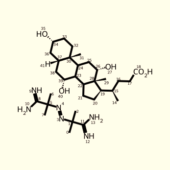 CC(C)(N=NC(C)(C)C(=N)N)C(=N)N.C[C@H](CCC(=O)O)[C@H]1CCC2C3C(C[C@H](O)[C@@]21C)[C@@]1(C)CC[C@@H](O)C[C@H]1C[C@H]3O